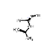 C=C(C)N/C(=N\C)C(C)C